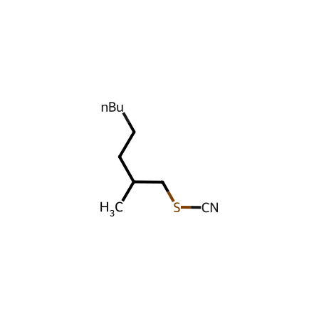 CCCCCCC(C)CSC#N